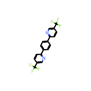 FC(F)(F)c1ccc(-c2ccc(-c3ccc(C(F)(F)F)cn3)cc2)nc1